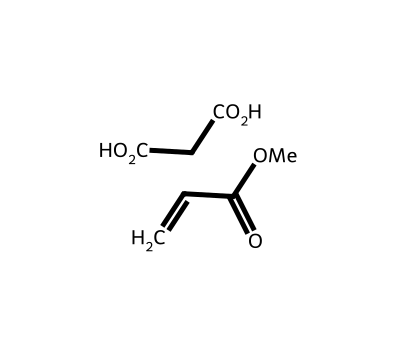 C=CC(=O)OC.O=C(O)CC(=O)O